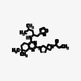 C=CC(=O)N1CC2(CCN(c3nc4c(c(NC(Cc5ccon5)CC(C)C)n3)CCC(C)(C)C4)C2)C1